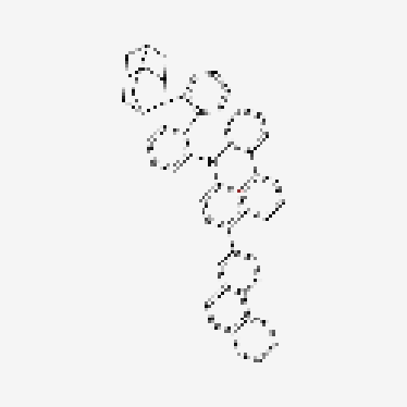 c1ccc(-c2ccccc2N(c2ccc(-c3ccc4c(ccc5ccccc54)c3)cc2)c2cccc3c2-c2ccccc2C32C3CC4CC(C3)CC2C4)cc1